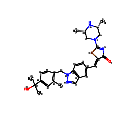 C[C@@H]1CN(C2=NC(=O)/C(=C/c3ccc4c(cnn4Cc4ccc(C(C)(C)O)cc4C(F)(F)F)c3)S2)C[C@H](C)N1